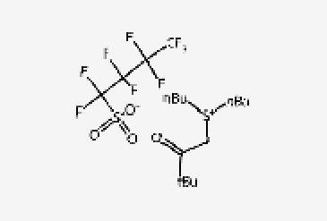 CCCC[S+](CCCC)CC(=O)C(C)(C)C.O=S(=O)([O-])C(F)(F)C(F)(F)C(F)(F)C(F)(F)F